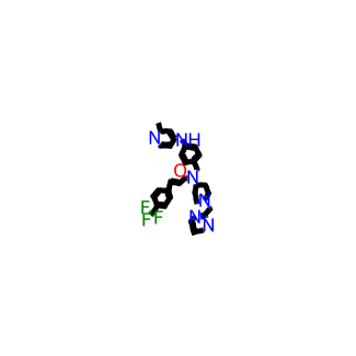 Cc1cc(Nc2ccc(CN(C(=O)C=Cc3ccc(C(F)(F)F)cc3)C3CCN(Cc4ncccn4)CC3)cc2)ccn1